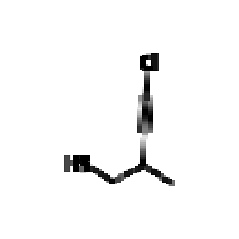 CC(C#CCl)CS